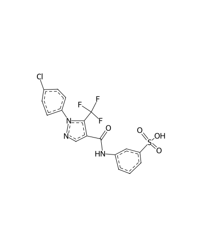 O=C(Nc1cccc(S(=O)(=O)O)c1)c1cnn(-c2ccc(Cl)cc2)c1C(F)(F)F